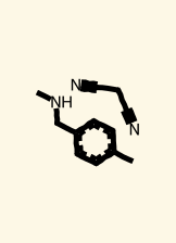 CNCc1ccc(C)cc1.N#CCC#N